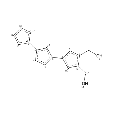 OCc1cc(-c2ccc(-c3cccs3)s2)sc1CO